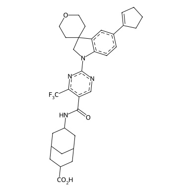 O=C(NC1CC2CC(C1)CC(C(=O)O)C2)c1cnc(N2CC3(CCOCC3)c3cc(C4=CCCC4)ccc32)nc1C(F)(F)F